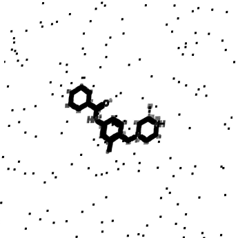 Cc1cc(NC(=O)C2CCCCC2)ccc1CN1CCN[C@@H](C)C1